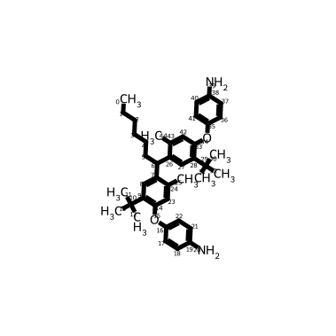 CCCCCCC(c1cc(C(C)(C)C)c(Oc2ccc(N)cc2)cc1C)c1cc(C(C)(C)C)c(Oc2ccc(N)cc2)cc1C